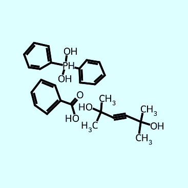 CC(C)(O)C#CC(C)(C)O.O=C(O)c1ccccc1.O[PH](O)(c1ccccc1)c1ccccc1